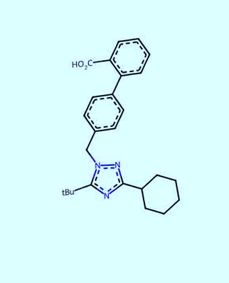 CC(C)(C)c1nc(C2CCCCC2)nn1Cc1ccc(-c2ccccc2C(=O)O)cc1